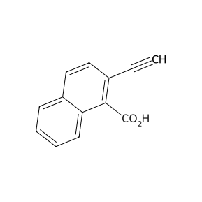 C#Cc1ccc2ccccc2c1C(=O)O